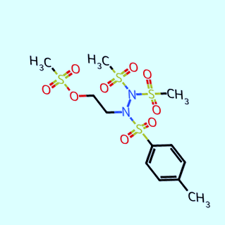 Cc1ccc(S(=O)(=O)N(CCOS(C)(=O)=O)N(S(C)(=O)=O)S(C)(=O)=O)cc1